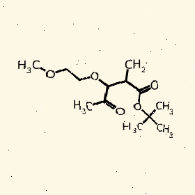 [CH2]C(C(=O)OC(C)(C)C)C(OCCOC)C(C)=O